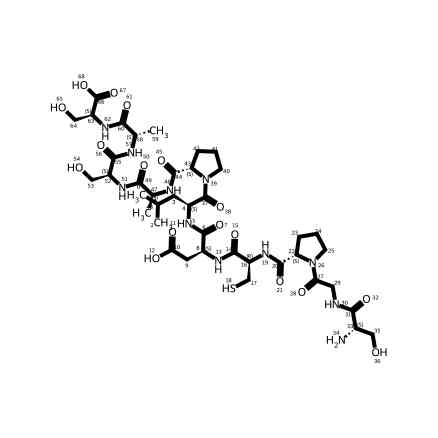 CC(C)C[C@H](NC(=O)[C@H](CC(=O)O)NC(=O)[C@H](CS)NC(=O)[C@@H]1CCCN1C(=O)CNC(=O)[C@@H](N)CO)C(=O)N1CCC[C@H]1C(=O)N[C@@H](C)C(=O)N[C@@H](CO)C(=O)N[C@@H](C)C(=O)N[C@@H](CO)C(=O)O